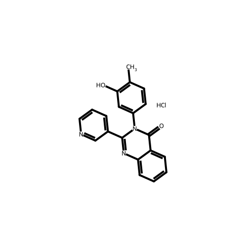 Cc1ccc(-n2c(-c3cccnc3)nc3ccccc3c2=O)cc1O.Cl